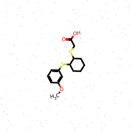 COc1cccc(SC2CCCCC2SCC(=O)O)c1